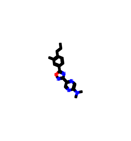 CCCc1ccc(-c2nc(-c3cnc(N(C)C)cn3)no2)cc1C